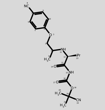 CC(COc1ccc(C#N)cc1)N[C@H](C(=O)NC(=O)OC(C)(C)C#N)C(C)C